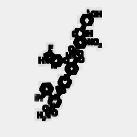 CC(C)c1ccccc1[C@@H]1CN(S(N)(=O)=O)CCN1C1CC2(CCN(c3ccc(C(=O)NS(=O)(=O)c4cc5c(c([N+](=O)[O-])c4)N[C@@H]([C@H]4CC[C@](C)(O)CC4)CO5)c(Oc4cnc5[nH]cc(F)c5c4)c3)CC2)C1